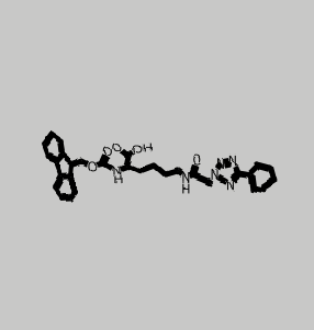 O=C(Cn1nnc(-c2ccccc2)n1)NCCCCC(NC(=O)OCC1c2ccccc2-c2ccccc21)C(=O)O